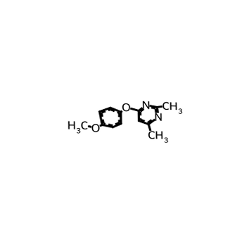 COc1ccc(Oc2cc(C)nc(C)n2)cc1